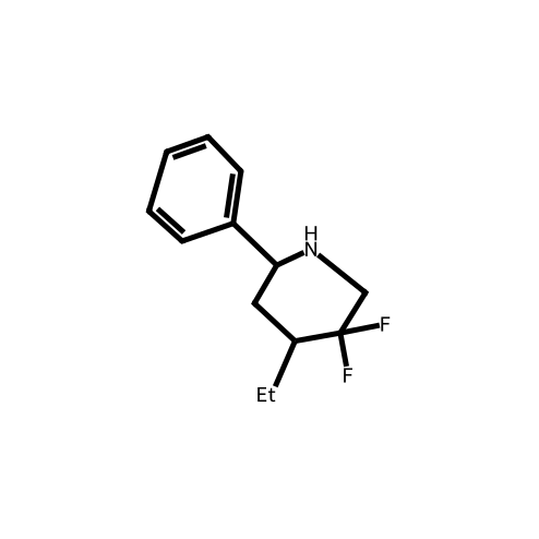 CCC1CC(c2ccccc2)NCC1(F)F